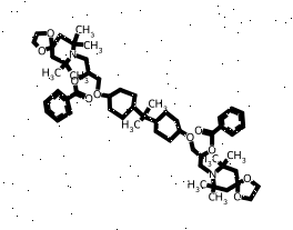 CC(C)(C1CCC(OCC(CN2C(C)(C)CC3(CC2(C)C)OCCO3)OC(=O)c2ccccc2)CC1)C1CCC(OCC(CN2C(C)(C)CC3(CC2(C)C)OCCO3)OC(=O)c2ccccc2)CC1